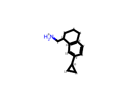 NCC1CCCc2ccc(C3CC3)cc21